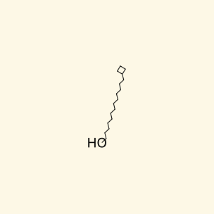 OCCCCCCCCCCCCCC1CCC1